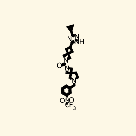 O=C(N1CC2(CC(c3nc(C4CC4)n[nH]3)C2)C1)N1CC2(CCN(Cc3cccc(S(=O)(=O)C(F)(F)F)c3)C2)C1